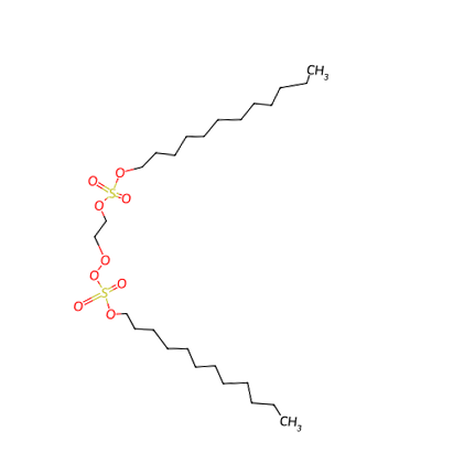 CCCCCCCCCCCCOS(=O)(=O)OCCOOS(=O)(=O)OCCCCCCCCCCCC